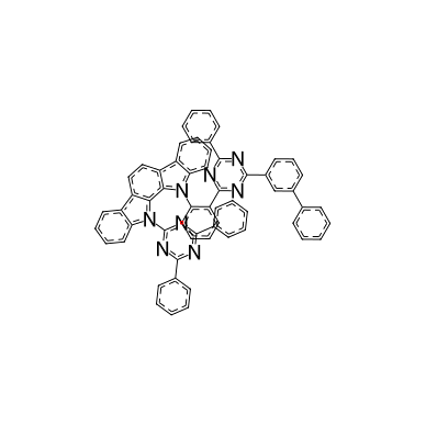 c1ccc(-c2cccc(-c3nc(-c4ccccc4)nc(-c4ccccc4-n4c5ccccc5c5ccc6c7ccccc7n(-c7nc(-c8ccccc8)nc(-c8ccccc8)n7)c6c54)n3)c2)cc1